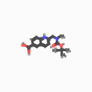 CN(Cc1ccc2cc(C(=O)O)ccc2n1)C(=O)OC(C)(C)C